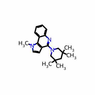 Cn1ccc2c(N3CC(C)(C)CC(C)(C)C3)nc3ccccc3c21